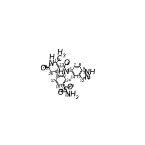 CC1=C(C(=O)Nc2ccc3[nH]ncc3c2)C(c2ccc(S(N)(=O)=O)cc2)CC(=O)N1